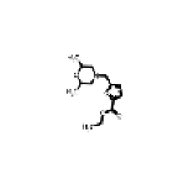 CCOC(=O)c1ccc(CN2CC(C)OC(C)C2)o1